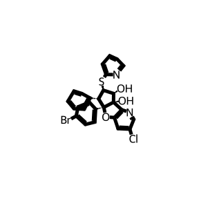 O[C@H]1[C@H](Sc2ccccn2)[C@@H](c2ccccc2)[C@]2(c3ccc(Br)cc3)Oc3cc(Cl)cnc3[C@]12O